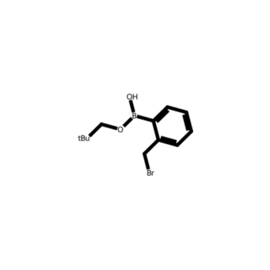 CC(C)(C)COB(O)c1ccccc1CBr